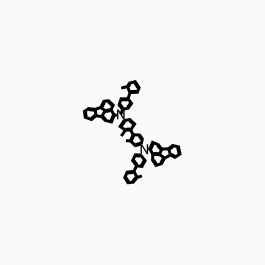 Cc1ccccc1-c1ccc(N(c2ccc(-c3ccc(N(c4ccc(-c5ccccc5C)cc4)c4ccc5c6c(cccc46)-c4ccccc4-5)cc3C)c(C)c2)c2ccc3c4c(cccc24)-c2ccccc2-3)cc1